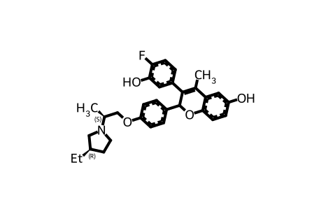 CC[C@@H]1CCN([C@@H](C)COc2ccc(C3Oc4ccc(O)cc4C(C)=C3c3ccc(F)c(O)c3)cc2)C1